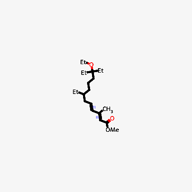 CCOC(CC)(CC)CCCC(CC)C/C=C/C(C)=C/C(=O)OC